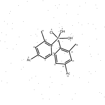 CC(=O)c1ccc(P(O)(O)(Cl)c2ccc(C(C)=O)cc2C)c(C)c1